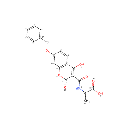 CC(NC(=O)c1c(O)c2ccc(OCc3ccccc3)cc2oc1=O)C(=O)O